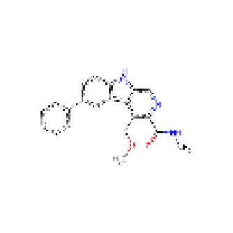 CNC(=O)c1ncc2[nH]c3ccc(-c4ccccc4)cc3c2c1COC